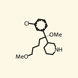 COCCCC[C@@](OC)(c1cccc(Cl)c1)C1CCCNC1